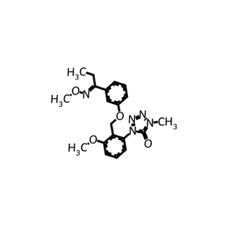 CCC(=NOC)c1cccc(OCc2c(OC)cccc2-n2nnn(C)c2=O)c1